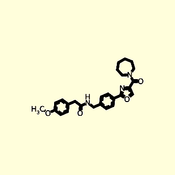 COc1ccc(CC(=O)NCc2ccc(-c3nc(C(=O)N4CCCCCC4)co3)cc2)cc1